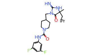 CC(C)CC1(C)NC(=N)N(CC2CCN(C(=O)Nc3cc(F)cc(F)c3)CC2)C1=O